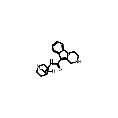 O=C(N[C@H]1CN2CCC1CC2)c1c2n(c3ccccc13)CCNC2